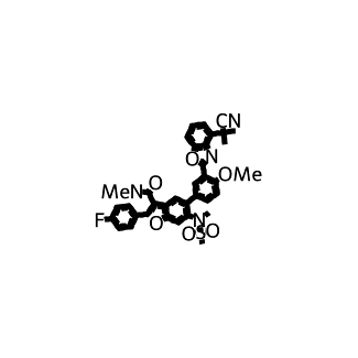 CNC(=O)c1c(-c2ccc(F)cc2)oc2cc(N(C)S(C)(=O)=O)c(-c3ccc(OC)c(-c4nc5c(C(C)(C)C#N)cccc5o4)c3)cc12